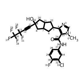 Cn1cnc(C2CC3CC(O)(C#CC(F)(F)C(F)(F)F)CC3C2)c1C(=O)Nc1ccc(F)c(Cl)c1